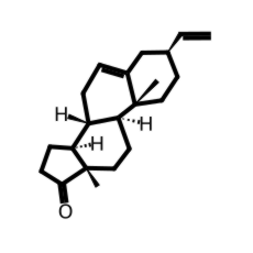 C=C[C@H]1CC[C@@]2(C)C(=CC[C@@H]3[C@@H]2CC[C@]2(C)C(=O)CC[C@@H]32)C1